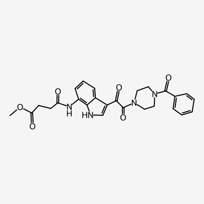 COC(=O)CCC(=O)Nc1cccc2c(C(=O)C(=O)N3CCN(C(=O)c4ccccc4)CC3)c[nH]c12